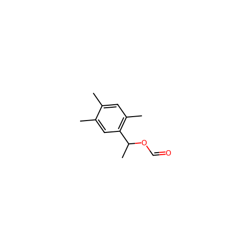 Cc1cc(C)c(C(C)OC=O)cc1C